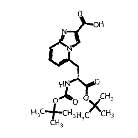 CC(C)(C)OC(=O)N[C@@H](Cc1cccc2nc(C(=O)O)cn12)C(=O)OC(C)(C)C